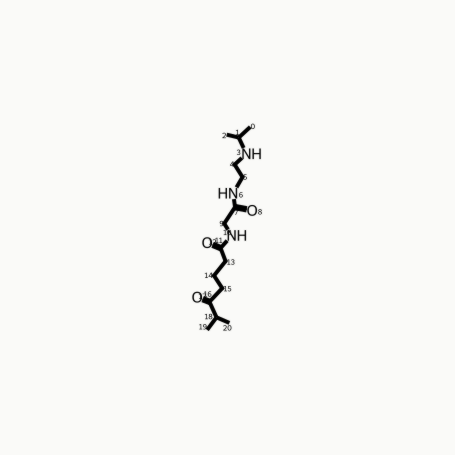 CC(C)NCCNC(=O)CNC(=O)CCCC(=O)C(C)C